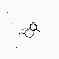 Cc1cncc2c1CCCC(=O)N2